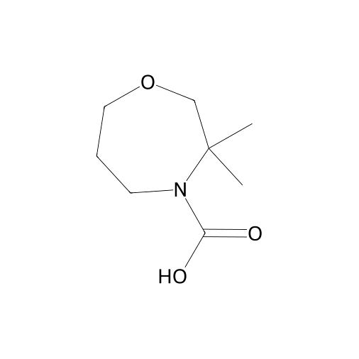 CC1(C)COCCCN1C(=O)O